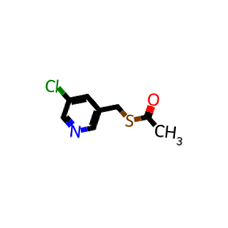 CC(=O)SCc1cncc(Cl)c1